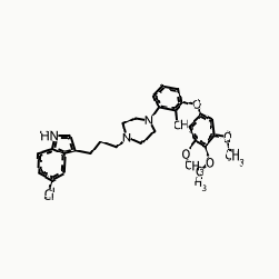 COc1cc(Oc2cccc(N3CCN(CCCc4c[nH]c5ccc(Cl)cc45)CC3)c2C)cc(OC)c1OC